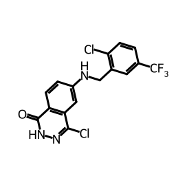 O=c1[nH]nc(Cl)c2cc(NCc3cc(C(F)(F)F)ccc3Cl)ccc12